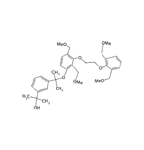 COCc1cccc(COC)c1OCCOc1c(COC)ccc(OC(C)(C)c2cccc(C(C)(C)O)c2)c1COC